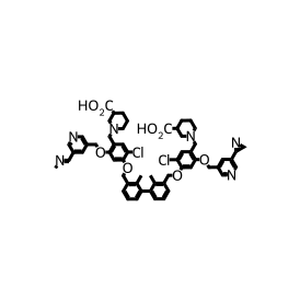 C/N=C/c1cncc(COc2cc(OCc3cccc(-c4cccc(COc5cc(OCc6cncc(C7=NC7)c6)c(CN6CCCC(C(=O)O)C6)cc5Cl)c4C)c3C)c(Cl)cc2CN2CCCC(C(=O)O)C2)c1